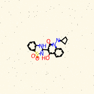 O=c1c(C2=NS(=O)(=O)c3ccccc3N2)c(O)c2ccccc2n1N=C1CCC1